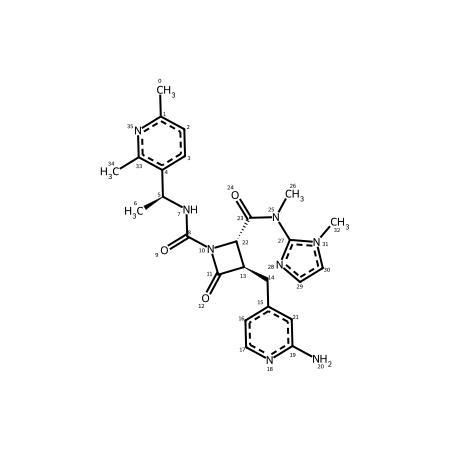 Cc1ccc([C@H](C)NC(=O)N2C(=O)[C@H](Cc3ccnc(N)c3)[C@H]2C(=O)N(C)c2nccn2C)c(C)n1